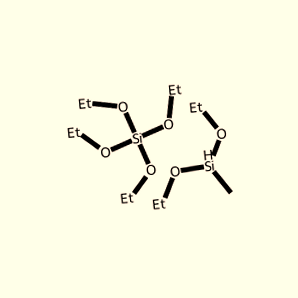 CCO[SiH](C)OCC.CCO[Si](OCC)(OCC)OCC